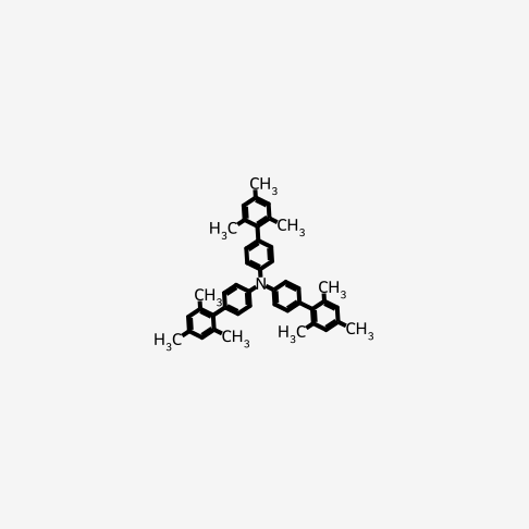 Cc1cc(C)c(-c2ccc(N(c3ccc(-c4c(C)cc(C)cc4C)cc3)c3ccc(-c4c(C)cc(C)cc4C)cc3)cc2)c(C)c1